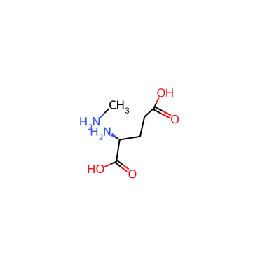 CN.N[C@@H](CCC(=O)O)C(=O)O